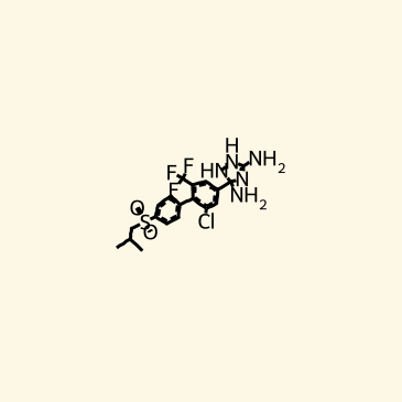 CC(C)CS(=O)(=O)c1ccc(-c2c(Cl)cc(C3(N)N=C(N)NN3)cc2C(F)(F)F)cc1